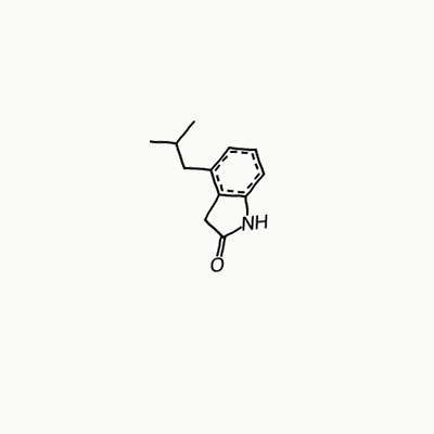 CC(C)Cc1cccc2c1CC(=O)N2